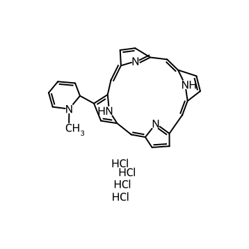 CN1C=CC=CC1c1cc2cc3nc(cc4ccc(cc5nc(cc1[nH]2)C=C5)[nH]4)C=C3.Cl.Cl.Cl.Cl